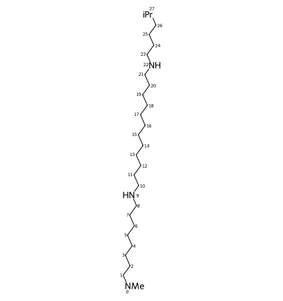 CNCCCCCCCCNCCCCCCCCCCCCNCCCCC(C)C